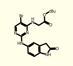 CC(C)(C)OC(=O)CNc1nc(Nc2ccc3c(c2)CC(=O)N3)ncc1Br